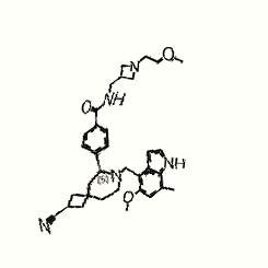 COCCN1CC(CNC(=O)c2ccc([C@@H]3CC4(CCN3Cc3c(OC)cc(C)c5[nH]ccc35)CC(C#N)C4)cc2)C1